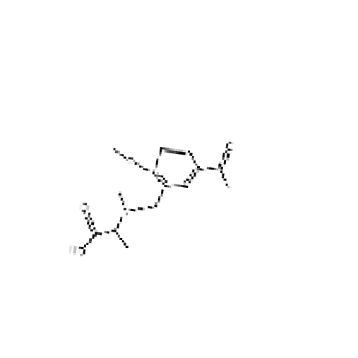 COc1ccc(C(C)=O)cc1CN(C)C(C)C(=O)O